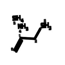 C=CC[SiH3].N.[SiH4]